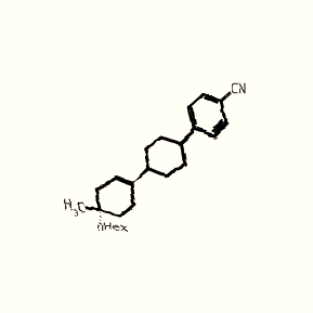 CCCCCC[C@]1(C)CC[C@@H](C2CCC(c3ccc(C#N)cc3)CC2)CC1